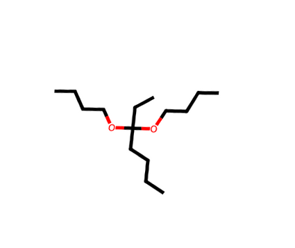 CCCCOC(CC)(CCCC)OCCCC